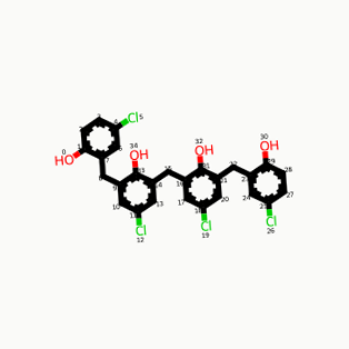 Oc1ccc(Cl)cc1Cc1cc(Cl)cc(Cc2cc(Cl)cc(Cc3cc(Cl)ccc3O)c2O)c1O